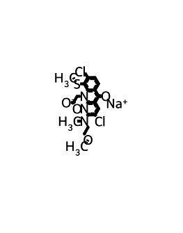 COCCN(C)c1nc2c(cc1Cl)c(=O)c1ccc(Cl)c(SC)c1n2CC(=O)[O-].[Na+]